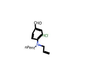 C=CCN(CCCCC)c1ccc(C=O)cc1.Cl